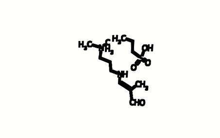 CC(C=O)=CNCCCN(C)C.CCCS(=O)(=O)O